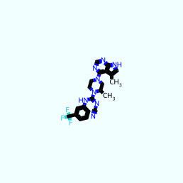 Cc1c[nH]c2ncnc(N3CCN(C(=NC#N)Nc4cccc(C(F)(F)F)c4)C(C)C3)c12